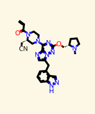 C=CC(=O)N1CCN(c2nc(OC[C@@H]3CCCN3C)nn3c(Cc4cccc5[nH]ncc45)cnc23)C[C@@H]1CC#N